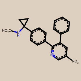 O=C(O)NC1(c2ccc(-c3ncc([N+](=O)[O-])cc3-c3ccccc3)cc2)CC1